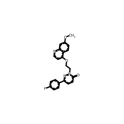 COc1ccc2c(OCCn3nc(-c4ccc(F)cc4)ccc3=O)ccnc2c1